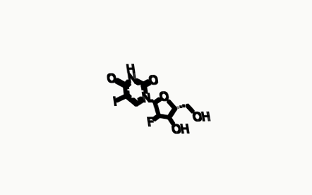 O=c1[nH]c(=O)n([C@@H]2O[C@H](CO)C(O)C2F)cc1I